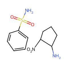 NC1CCCC1[N+](=O)[O-].NS(=O)(=O)c1ccccc1